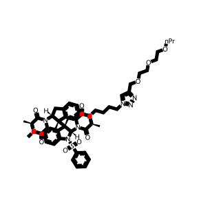 CCCOCCOCCOCc1cn(CCCCN2C(=O)[C@@]34C[C@]5([C@]67C[C@@]89SS[C@@](C)(C(=O)N8[C@H]6Cc6ccccc67)N(C)C9=O)c6ccccc6N(S(=O)(=O)c6ccccc6)[C@@H]5N3C(=O)[C@]2(C)SS4)nn1